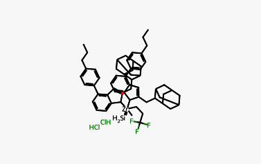 CCCc1ccc(-c2cccc3c2C=C(CC2C4CC5CC(C4)CC2C5)[CH]3[Zr]([CH3])(=[SiH2])([CH2]CC(F)(F)F)[CH]2C(CC3C4CC5CC(C4)CC3C5)=Cc3c(-c4ccc(CCC)cc4)cccc32)cc1.Cl.Cl